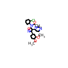 COc1ccc(-c2noc(N(C(C)=O)c3ccccc3Cl)c2-c2ccncn2)cc1OC